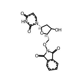 O=C1c2ccccc2C(=O)N1OC[C@@H]1O[C@H](n2ccc(=O)[nH]c2=O)CC1O